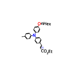 CCCCCCOc1ccc(N(c2ccc(C)cc2)c2ccc(/C=C/C(=O)OCC)cc2)cc1